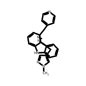 Cn1cc(CN2CN(c3ccncc3)C3C=CC=C4Nc5ccccc5C432)cn1